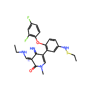 CCN/C=C1\C(=N)C(c2cc(NSCC)ccc2Oc2ccc(F)cc2F)=CN(C)C1=O